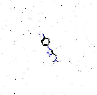 CN(C)Cc1cn(-c2ccc(N)cc2)nn1